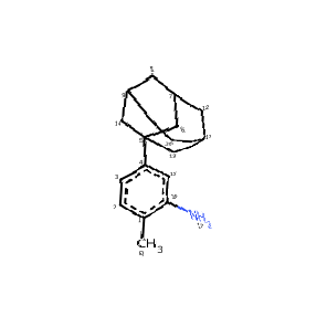 Cc1ccc(C23CC4CC(CC(C4)C2)C3)cc1N